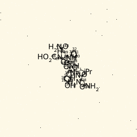 CC(C)C[C@H](NC(=O)[C@@H](N)CC(N)=O)C(=O)N[C@@H](Cc1ccc(O)cc1)C(=O)N[C@@H](Cc1ccccc1)C(=O)N[C@@H](CCC(N)=O)C(=O)NCC(=O)O